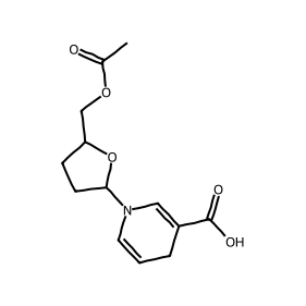 CC(=O)OCC1CCC(N2C=CCC(C(=O)O)=C2)O1